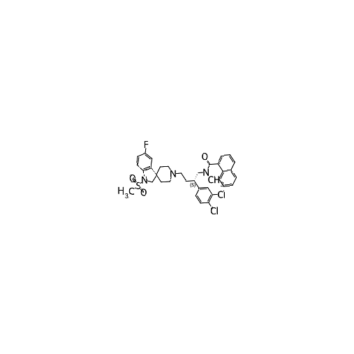 CN(C[C@@H](CCN1CCC2(CC1)CN(S(C)(=O)=O)c1ccc(F)cc12)c1ccc(Cl)c(Cl)c1)C(=O)c1cccc2ccccc12